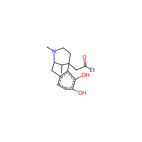 CCC(=O)CC12CCN(C)C(Cc3ccc(O)c(O)c31)C2C